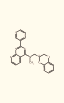 CN(C[C@H]1COc2ccccc2O1)c1nc(-c2cccnc2)nc2ncccc12